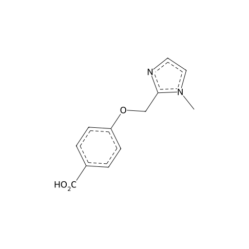 Cn1ccnc1COc1ccc(C(=O)O)cc1